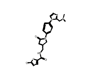 CN(C)Cc1nccn1-c1ccc(N2CC(CNC(=O)c3ccc(Cl)s3)CC2=O)cc1